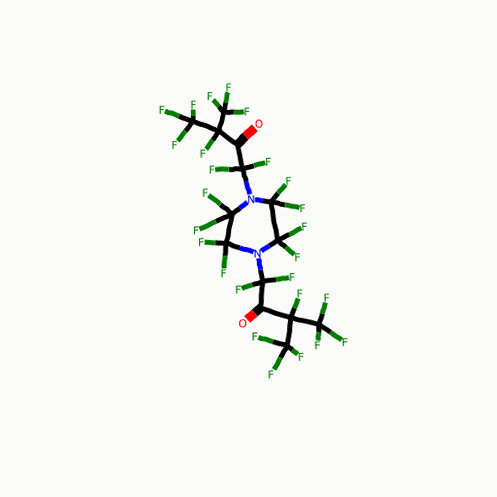 O=C(C(F)(F)N1C(F)(F)C(F)(F)N(C(F)(F)C(=O)C(F)(C(F)(F)F)C(F)(F)F)C(F)(F)C1(F)F)C(F)(C(F)(F)F)C(F)(F)F